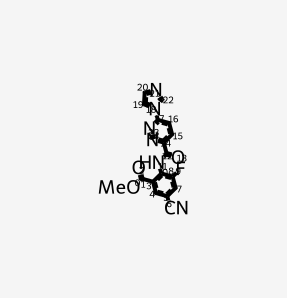 COC(=O)c1cc(C#N)cc(F)c1NC(=O)c1ccc(-n2ccnc2)nn1